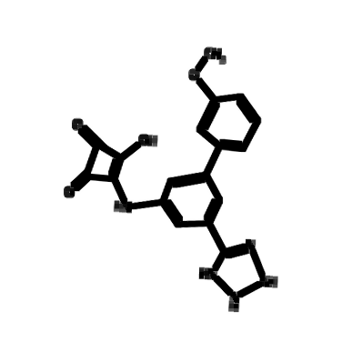 COc1cccc(-c2cc(Nc3c(O)c(=O)c3=O)cc(C3=NNNN3)c2)c1